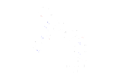 CC(C)(C)OC(=O)N1CCN(C(=O)c2ccc(-c3ccc4c(c3)c(C(=O)Nc3ccncc3)nn4C3CCCCO3)cc2)CC1